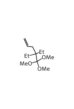 C=CCC(CC)(CC)C(OC)(OC)OC